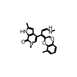 CN/C=C\C(=C(/C=O)Oc1c(C)cccc1C)c1cn(C)c(=O)c2[nH]c(C)cc12